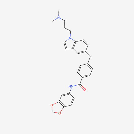 CN(C)CCCn1ccc2cc(Cc3ccc(C(=O)Nc4ccc5c(c4)OCO5)cc3)ccc21